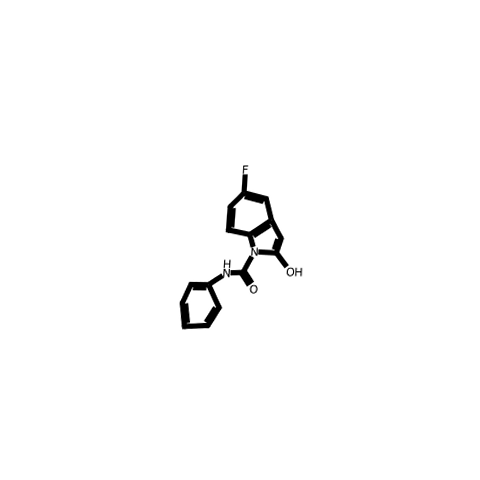 O=C(Nc1ccccc1)n1c(O)cc2cc(F)ccc21